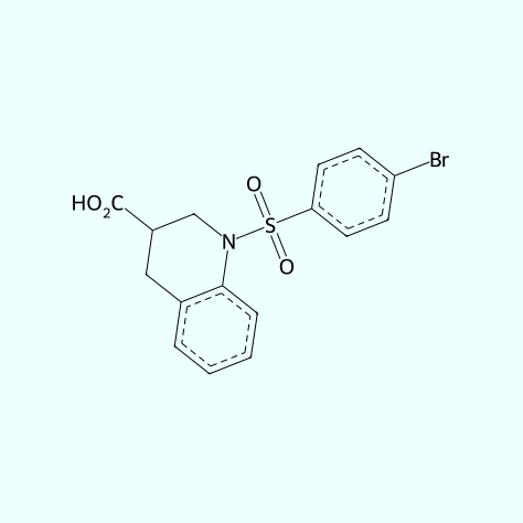 O=C(O)C1Cc2ccccc2N(S(=O)(=O)c2ccc(Br)cc2)C1